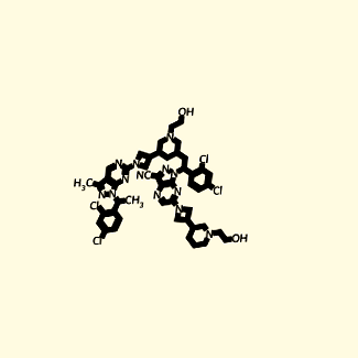 Cc1nn(C(C)c2ccc(Cl)cc2Cl)c2nc(N3CC(C4CC(CC(c5ccc(Cl)cc5Cl)n5nc(C#N)c6ncc(N7CC(C8CCCN(CCO)C8)C7)nc65)CN(CCO)C4)C3)ncc12